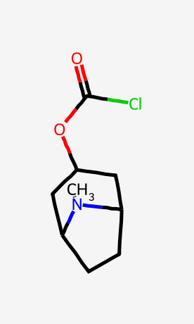 CN1C2CCC1CC(OC(=O)Cl)C2